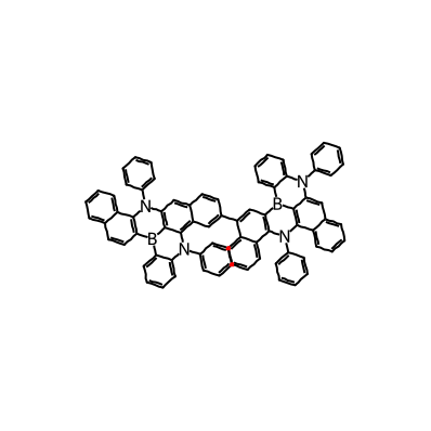 c1ccc(N2c3ccccc3B3c4cc(-c5ccc6cc7c8c(c6c5)N(c5ccccc5)c5ccccc5B8c5ccc6ccccc6c5N7c5ccccc5)c5ccccc5c4N(c4ccccc4)c4c3c2cc2ccccc42)cc1